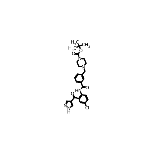 CC(C)(C)OC(=O)N1CCN(Cc2cccc(C(=O)Nc3ccc(Cl)cc3C(=O)c3cn[nH]c3)c2)CC1